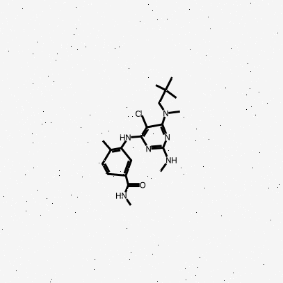 CNC(=O)c1ccc(C)c(Nc2nc(NC)nc(N(C)CC(C)(C)C)c2Cl)c1